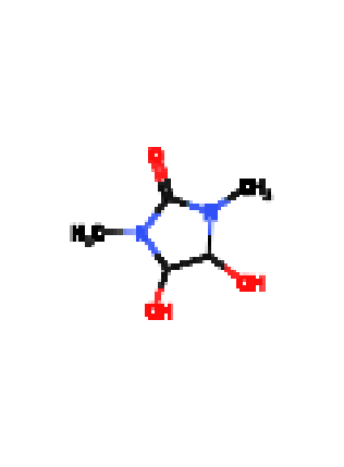 CN1C(=O)N(C)C(O)C1O